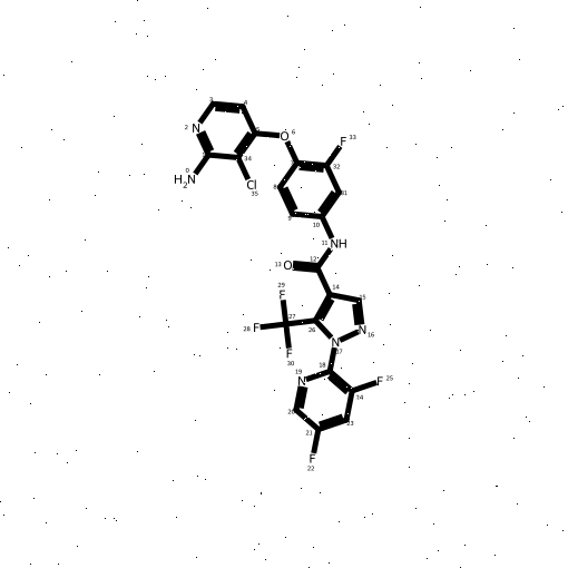 Nc1nccc(Oc2ccc(NC(=O)c3cnn(-c4ncc(F)cc4F)c3C(F)(F)F)cc2F)c1Cl